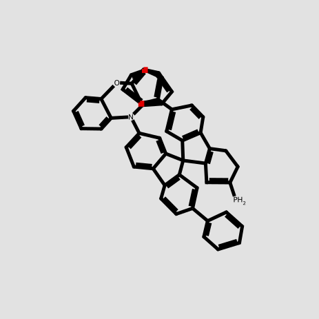 PC1=CC2=C(CC1)c1ccc(-c3ccccc3)cc1C21c2cc(-c3ccccc3)ccc2-c2ccc(N3c4ccccc4Oc4ccccc43)cc21